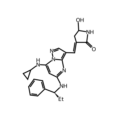 CC[C@H](Nc1cc(NC2CC2)n2ncc(/C=C3\CC(O)NC3=O)c2n1)c1ccccc1